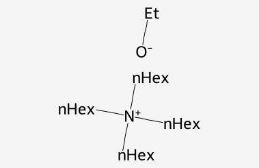 CCCCCC[N+](CCCCCC)(CCCCCC)CCCCCC.CC[O-]